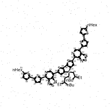 CCCCCCc1ccc(-c2ccc(-c3cnc(-c4cc5c(s4)-c4sc(-c6cnc(-c7ccc(-c8ccc(CCCCCC)s8)s7)c7nsnc67)cc4S5(CCC(CC)CCCC)CC(CC)CCCC)c4nsnc34)s2)s1